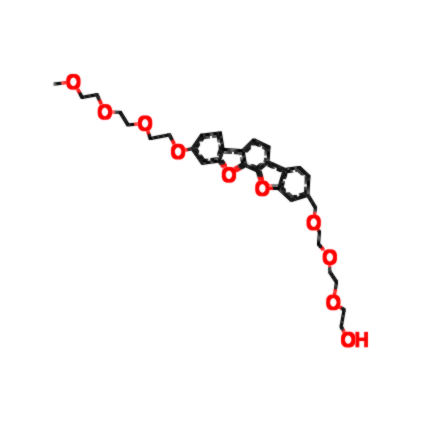 COCCOCCOCCOc1ccc2c(c1)oc1c2ccc2c3ccc(COCCOCCOCCO)cc3oc21